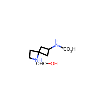 O=C(O)NC1CC2(CCN2)C1.O=CO